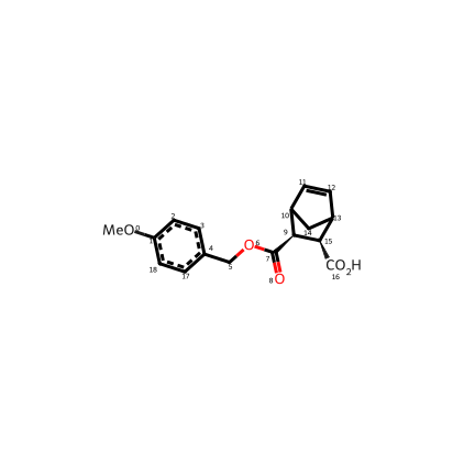 COc1ccc(COC(=O)[C@H]2C3C=CC(C3)[C@H]2C(=O)O)cc1